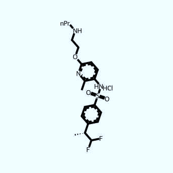 CCCNCCOc1ccc(NS(=O)(=O)c2ccc([C@@H](C)C(F)F)cc2)c(C)n1.Cl